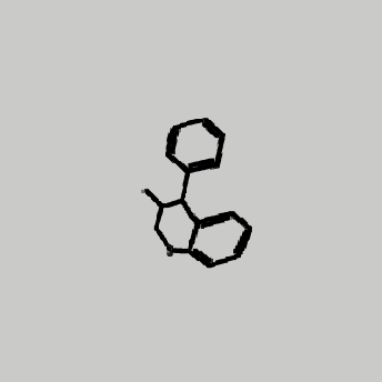 [CH2]C1CSc2ccccc2C1c1ccccc1